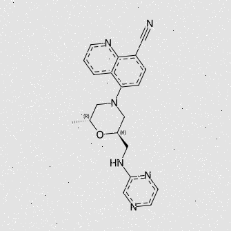 C[C@@H]1CN(c2ccc(C#N)c3ncccc23)C[C@@H](CNc2cnccn2)O1